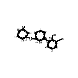 Cc1cccc(-c2[c]ccc(Oc3ccccc3)c2)c1C